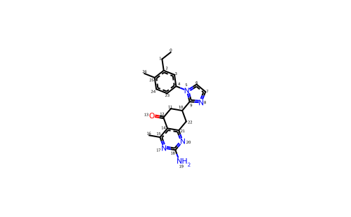 CCc1cc(-n2ccnc2C2CC(=O)c3c(C)nc(N)nc3C2)ccc1C